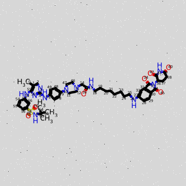 Cc1cnc(Nc2ccc(N3CCN(CC(=O)NCCCCCCCCNc4ccc5c(c4)C(=O)N(C4CCC(=O)NC4=O)C5=O)CC3)cc2)nc1Nc1cccc(S(=O)(=O)NC(C)(C)C)c1